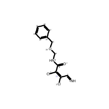 N=C/C(Cl)=C(/Cl)C(=O)NCOCc1ccccc1